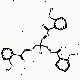 CCOc1ccccc1C(=O)N=NCC([SiH3])(N=NC(=O)c1ccccc1OCC)N=NC(=O)c1ccccc1OCC